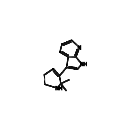 CC1(C)NCCC=C1c1c[nH]c2ncccc12